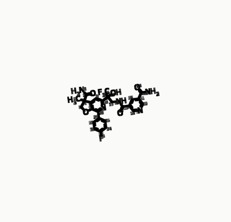 C[C@]1(C(N)=O)COc2c1cc(C(O)(CNC(=O)c1cncc(C(N)=O)c1)C(F)(F)F)nc2-c1ccc(F)cc1